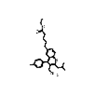 CCOC(=O)CCCCc1ccc2nc(CC(C)C)c(CN)c(-c3ccc(C)cc3)c2c1